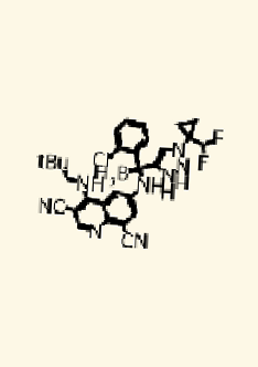 BC(Nc1cc(C#N)c2ncc(C#N)c(NCC(C)(C)C)c2c1)(C1=CN(C2(C(F)F)CC2)NN1)c1ccccc1Cl